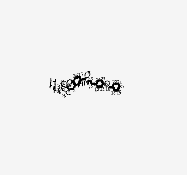 CC1=Cc2cc(C(=O)NCCc3ccc(OCc4ccccc4)cc3)ccc2OC1(C)C